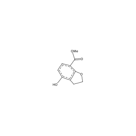 COC(=O)c1ccc(O)c2c1OCC2